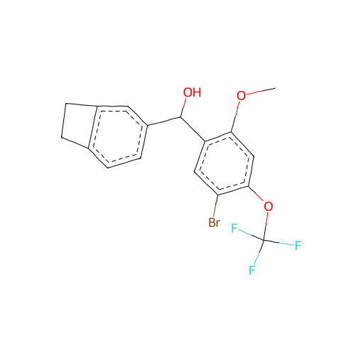 COc1cc(OC(F)(F)F)c(Br)cc1C(O)c1ccc2c(c1)CC2